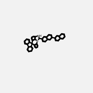 c1ccc2c(c1)-c1ccccc1C21c2ccccc2N2c3c(cccc31)NC2c1ccc2cc(-c3ccc4ccccc4c3)ccc2c1